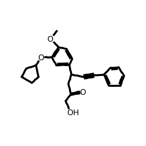 COc1ccc(C(C#Cc2ccccc2)CC(=O)CO)cc1OC1CCCC1